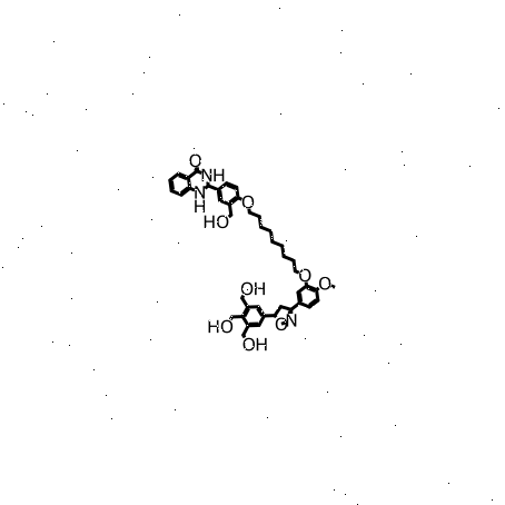 COc1ccc(C2=NOC(c3cc(CO)c(CO)c(CO)c3)C2)cc1OCCCCCCCCCOc1ccc(C2NC(=O)c3ccccc3N2)cc1CO